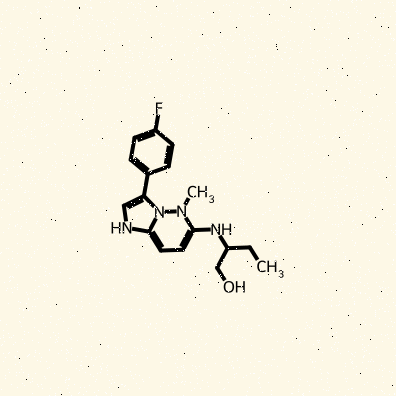 CCC(CO)NC1=CC=C2NC=C(c3ccc(F)cc3)N2N1C